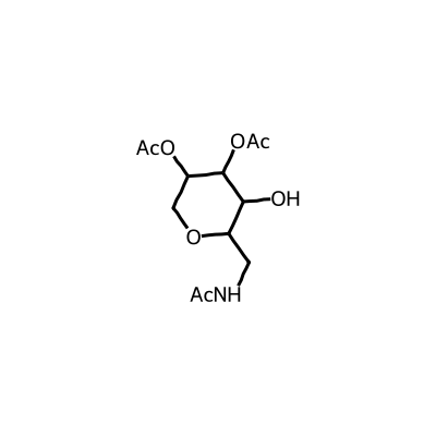 CC(=O)NCC1OCC(OC(C)=O)C(OC(C)=O)C1O